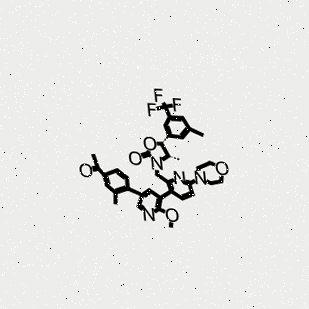 COc1ncc(-c2ccc(C(C)=O)cc2C)cc1-c1ccc(N2CCOCC2)nc1CN1C(=O)O[C@H](c2cc(C)cc(C(F)(F)F)c2)[C@@H]1C